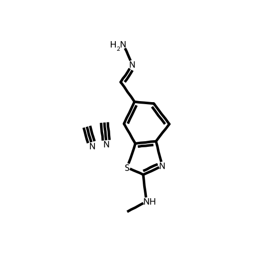 C#N.C#N.CNc1nc2ccc(C=NN)cc2s1